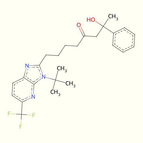 CC(O)(CC(=O)CCCCc1nc2ccc(C(F)(F)F)nc2n1C(C)(C)C)c1ccccc1